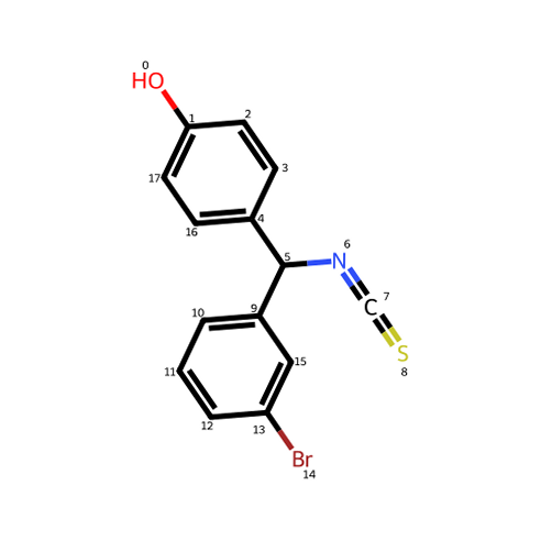 Oc1ccc(C(N=C=S)c2cccc(Br)c2)cc1